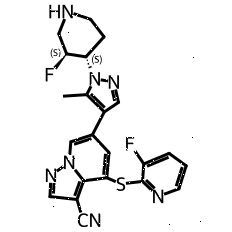 Cc1c(-c2cc(Sc3ncccc3F)c3c(C#N)cnn3c2)cnn1[C@H]1CCNC[C@@H]1F